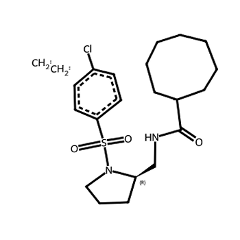 O=C(NC[C@H]1CCCN1S(=O)(=O)c1ccc(Cl)cc1)[C]1CCCCCCC1.[CH2].[CH2]